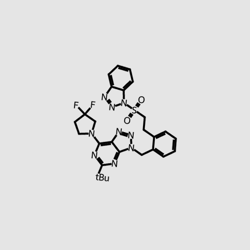 CC(C)(C)c1nc(N2CCC(F)(F)C2)c2nnn(Cc3ccccc3CCS(=O)(=O)n3nnc4ccccc43)c2n1